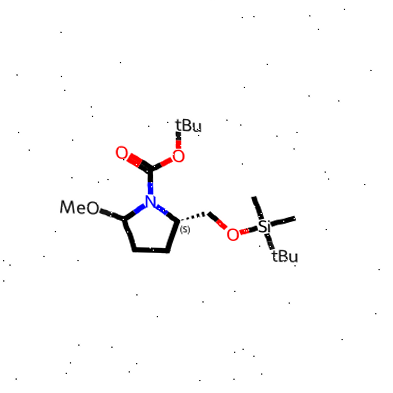 COC1CC[C@@H](CO[Si](C)(C)C(C)(C)C)N1C(=O)OC(C)(C)C